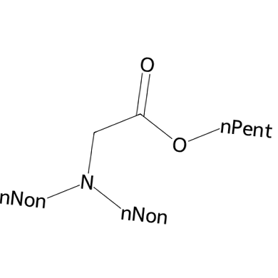 CCCCCCCCCN(CCCCCCCCC)CC(=O)OCCCCC